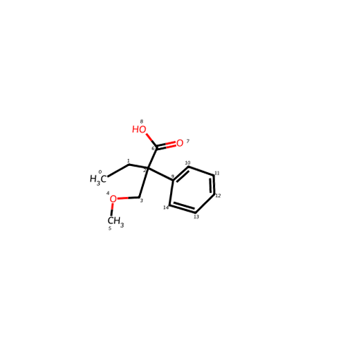 CCC(COC)(C(=O)O)c1ccccc1